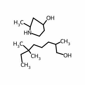 CC1CC(O)CCN1.CCC(C)(C)CCCC(C)CO